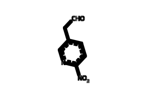 O=CCc1ccc([N+](=O)[O-])nc1